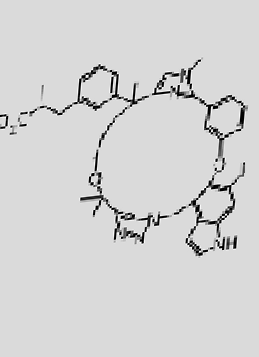 CC(Cc1cccc(C2(C)CCCOC(C)(C)c3cn(nn3)Cc3c(c(F)cc4[nH]ccc34)Oc3cccc(c3)-c3nc2cn3C)c1)C(=O)O